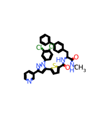 CNC(=O)C(Cc1ccc(-c2ccccc2)cc1)NC(=O)c1ccc(-c2cc(-c3cccnc3)nn2-c2ccc(Cl)c(Cl)c2)s1